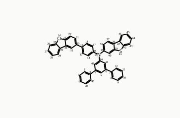 c1ccc(-c2cc(-c3ccccc3)cc(N(c3ccc(-c4ccc5oc6ccccc6c5c4)cc3)c3ccc4c(c3)sc3ccccc34)c2)cc1